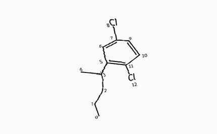 CCC[C](C)c1cc(Cl)ccc1Cl